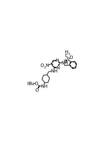 CC(C)(C)OC(=O)NC1CCC(CNc2nc(NCc3ccccc3S(C)(=O)=O)ncc2[N+](=O)[O-])CC1